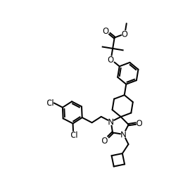 COC(=O)C(C)(C)Oc1cccc(C2CCC3(CC2)C(=O)N(CC2CCC2)C(=O)N3CCc2ccc(Cl)cc2Cl)c1